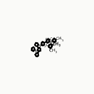 Cc1cc(C)c(B(c2cccc(-c3ccc(-n4c5ccccc5c5c4ccc4c6ccccc6n(-c6ccccc6)c45)cc3)c2)c2c(C)cc(C)cc2C)c(C)c1